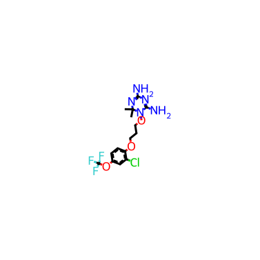 CC1(C)N=C(N)N=C(N)N1OCCCOc1ccc(OC(F)(F)F)cc1Cl